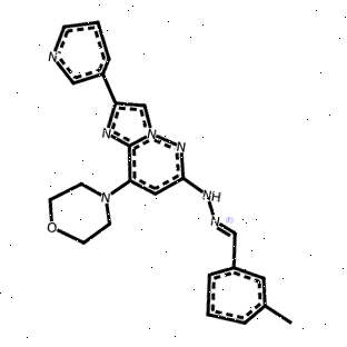 Cc1cccc(/C=N/Nc2cc(N3CCOCC3)c3nc(-c4cccnc4)cn3n2)c1